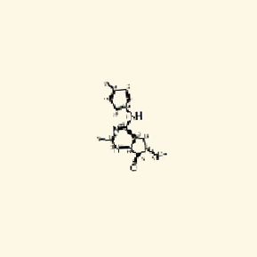 Cc1ccc(Nc2nc(C)nc3c2CN(C(C)C)C3=O)cc1